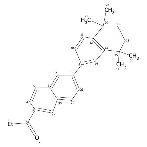 CCC(=O)c1ccc2cc(-c3ccc4c(c3)C(C)(C)CCC4(C)C)ccc2c1